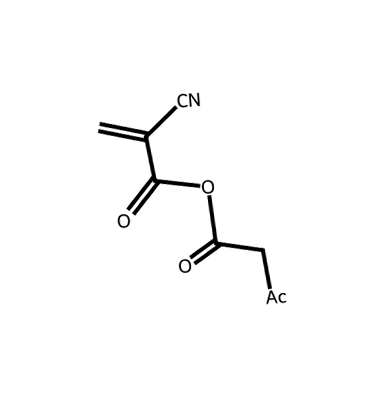 C=C(C#N)C(=O)OC(=O)CC(C)=O